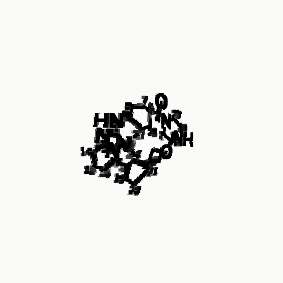 O=C1CN(C(=O)c2ccc(Nc3nc4cccc(-c5cccc(Cl)c5)n4n3)cc2)CCN1